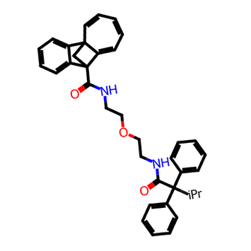 CC(C)C(C(=O)NCCOCCNC(=O)C12CC3(C=CC=CC=C31)c1ccccc12)(c1ccccc1)c1ccccc1